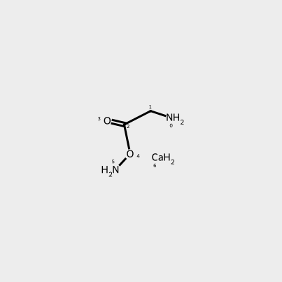 NCC(=O)ON.[CaH2]